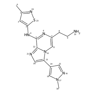 Cc1cc(Nc2nc(CCN)cn3c(-c4cnn(C)c4)cnc23)sn1